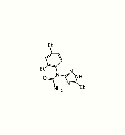 CCc1ccc(N(C(N)=O)c2n[nH]c(CC)n2)c(CC)c1